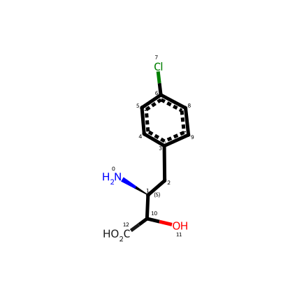 N[C@@H](Cc1ccc(Cl)cc1)C(O)C(=O)O